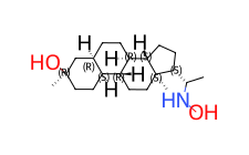 CC(NO)[C@H]1CC[C@H]2[C@@H]3CC[C@@H]4C[C@](C)(O)CC[C@@H]4[C@H]3CC[C@]12C